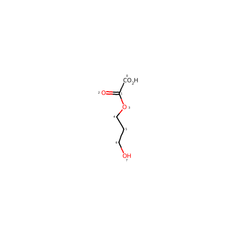 O=C(O)C(=O)OCCCO